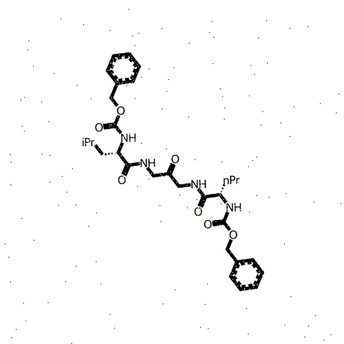 CCC[C@H](NC(=O)OCc1ccccc1)C(=O)NCC(=O)CNC(=O)[C@H](CC(C)C)NC(=O)OCc1ccccc1